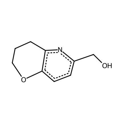 OCc1ccc2c(n1)CCCO2